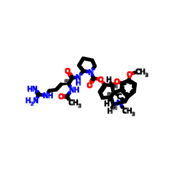 COc1ccc2c3c1O[C@H]1C(OC(=O)N4CCCCC4NC(=O)[C@H](CCCNC(=N)N)NC(C)=O)=CC[C@H]4[C@@H](C2)N(C)CC[C@]314